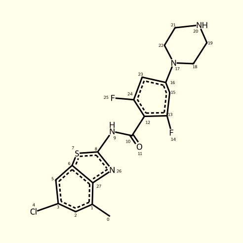 Cc1cc(Cl)cc2sc(NC(=O)c3c(F)cc(N4CCNCC4)cc3F)nc12